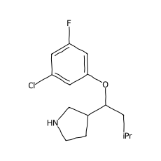 CC(C)CC(Oc1cc(F)cc(Cl)c1)C1CCNC1